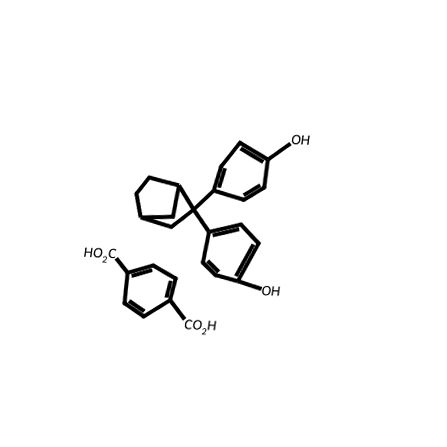 O=C(O)c1ccc(C(=O)O)cc1.Oc1ccc(C2(c3ccc(O)cc3)CC3CCC2C3)cc1